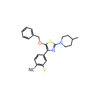 CC1CCN(c2nc(-c3ccc(C#N)c(F)c3)c(OCc3ccccc3)s2)CC1